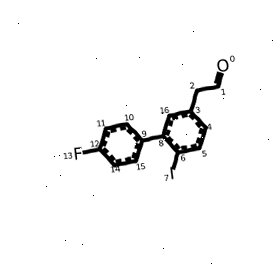 O=CCc1ccc(I)c(-c2ccc(F)cc2)c1